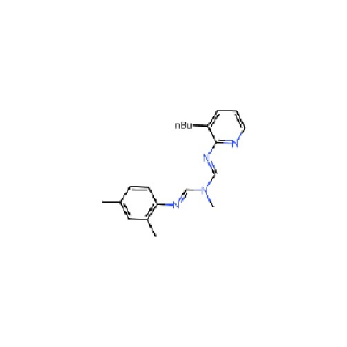 CCCCc1cccnc1N=CN(C)C=Nc1ccc(C)cc1C